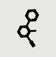 C#Cc1cccc(-c2ccccc2)c1I